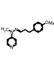 COc1ccc(CCC=NN(C)c2ccncc2)cc1